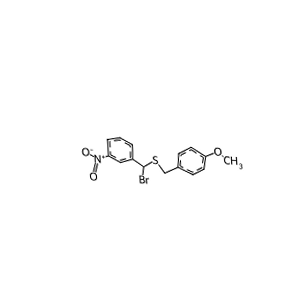 COc1ccc(CSC(Br)c2cccc([N+](=O)[O-])c2)cc1